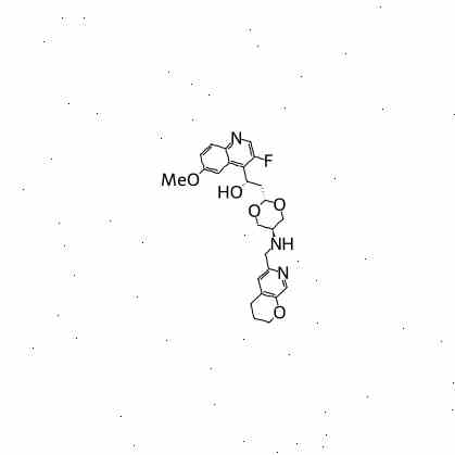 COc1ccc2ncc(F)c([C@@H](O)C[C@H]3OC[C@H](NCc4cc5c(cn4)OCCC5)CO3)c2c1